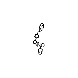 O=C(C1CCOCC1)N1CC2CCC(c3ccc(CCN4CCOCC4)cc3)C2C1